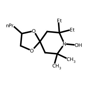 CCCC1COC2(CC(C)(C)N(O)C(CC)(CC)C2)O1